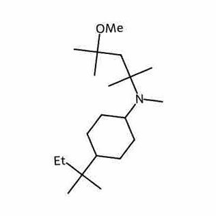 CCC(C)(C)C1CCC(N(C)C(C)(C)CC(C)(C)OC)CC1